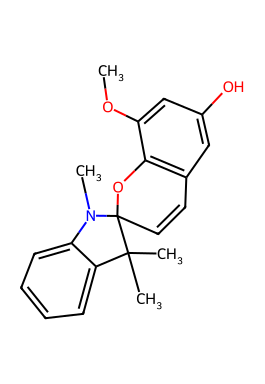 COc1cc(O)cc2c1OC1(C=C2)N(C)c2ccccc2C1(C)C